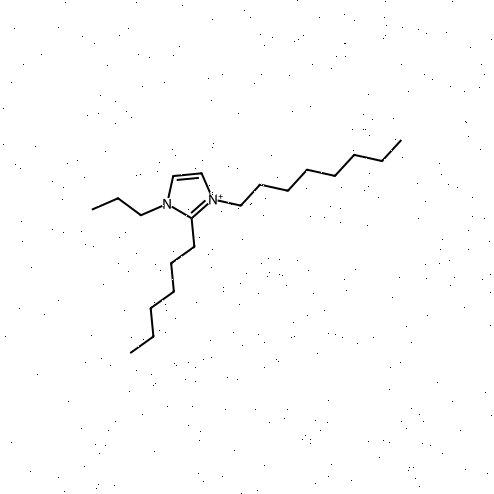 CCCCCCCC[n+]1ccn(CCC)c1CCCCCC